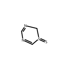 S=S1C=NC=NC1